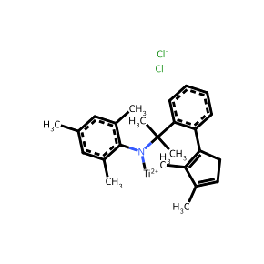 CC1=CCC(c2ccccc2C(C)(C)[N]([Ti+2])c2c(C)cc(C)cc2C)=C1C.[Cl-].[Cl-]